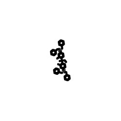 CCC(C)(c1ccc(N(Cc2ccccc2)Cc2ccccc2)cc1C)c1ccc(N(Cc2ccccc2)Cc2ccccc2)cc1C